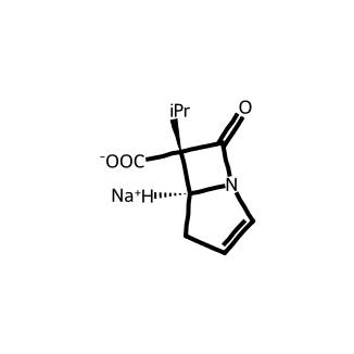 CC(C)[C@@]1(C(=O)[O-])C(=O)N2C=CC[C@H]21.[Na+]